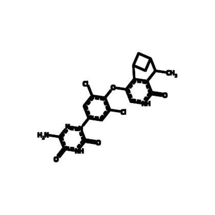 CC1c2c(c(Oc3c(Cl)cc(-n4nc(N)c(=O)[nH]c4=O)cc3Cl)c[nH]c2=O)C2CC1C2